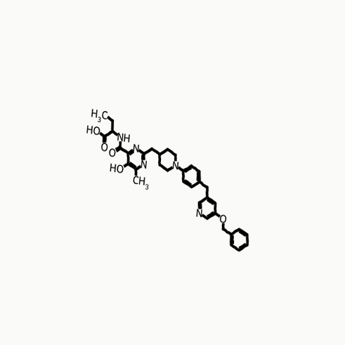 CCC(NC(=O)c1nc(CC2CCN(c3ccc(Cc4cncc(OCc5ccccc5)c4)cc3)CC2)nc(C)c1O)C(=O)O